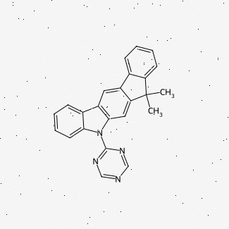 CC1(C)c2ccccc2-c2cc3c4ccccc4n(-c4ncncn4)c3cc21